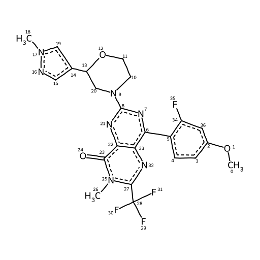 COc1ccc(-c2nc(N3CCOC(c4cnn(C)c4)C3)nc3c(=O)n(C)c(C(F)(F)F)nc23)c(F)c1